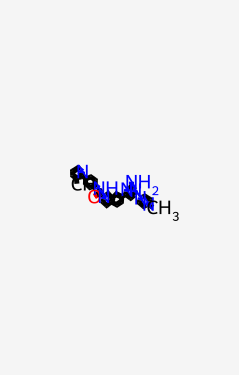 Cc1cccnc1C1CCC(NC(=O)N2CCc3ccc(-c4cc(N5CCN(C)CC5)nc(N)n4)cc3C2)CC1